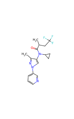 Cc1nn(-c2cccnc2)cc1N(C(=O)C(C)CC(F)(F)F)C1CC1